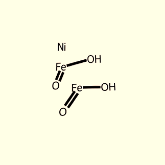 [Ni].[O]=[Fe][OH].[O]=[Fe][OH]